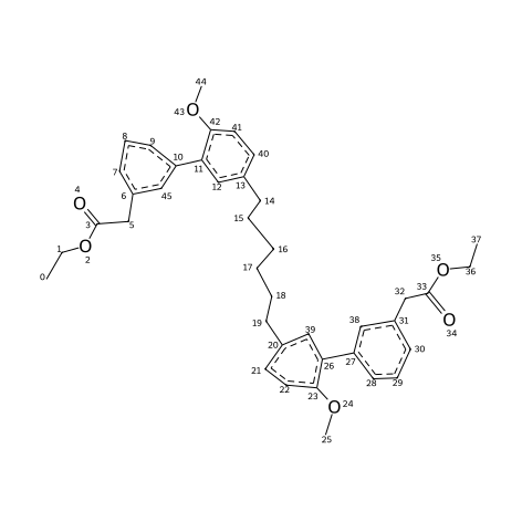 CCOC(=O)Cc1cccc(-c2cc(CCCCCCc3ccc(OC)c(-c4cccc(CC(=O)OCC)c4)c3)ccc2OC)c1